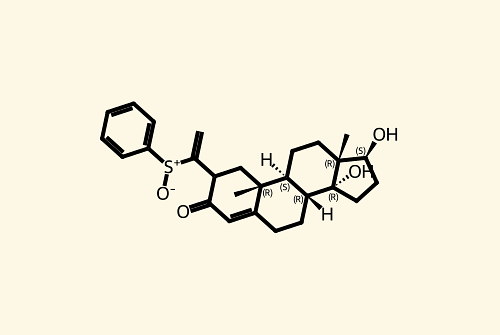 C=C(C1C[C@@]2(C)C(=CC1=O)CC[C@@H]1[C@@H]2CC[C@]2(C)[C@@H](O)CC[C@@]12O)[S+]([O-])c1ccccc1